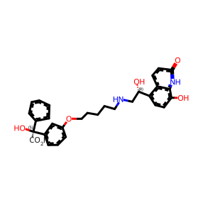 O=C(O)[C@](O)(c1ccccc1)c1cccc(OCCCCCNC[C@H](O)c2ccc(O)c3[nH]c(=O)ccc23)c1